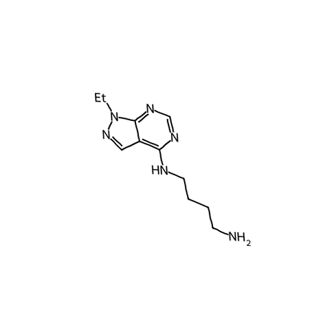 CCn1ncc2c(NCCCCN)ncnc21